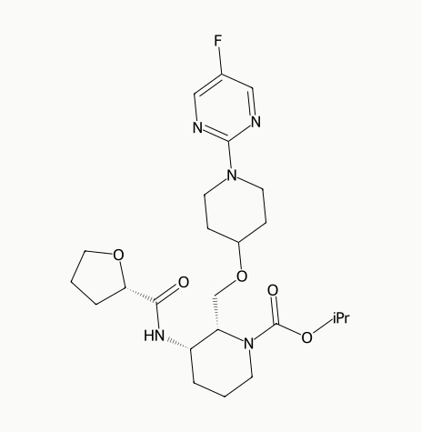 CC(C)OC(=O)N1CCC[C@H](NC(=O)[C@@H]2CCCO2)[C@@H]1COC1CCN(c2ncc(F)cn2)CC1